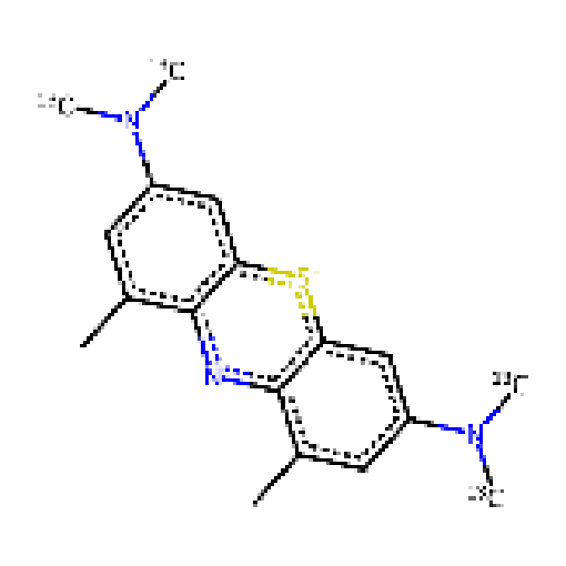 Cc1cc(N([13CH3])[13CH3])cc2[s+]c3cc(N([13CH3])[13CH3])cc(C)c3nc12